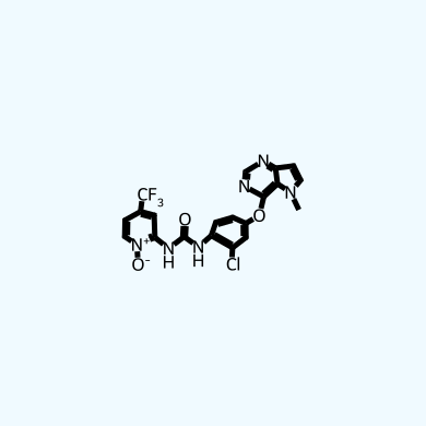 Cn1ccc2ncnc(Oc3ccc(NC(=O)Nc4cc(C(F)(F)F)cc[n+]4[O-])c(Cl)c3)c21